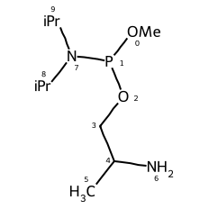 COP(OCC(C)N)N(C(C)C)C(C)C